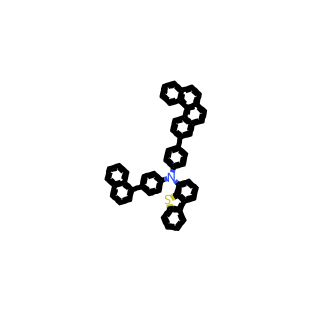 c1ccc2c(-c3ccc(N(c4ccc(-c5ccc6c(ccc7ccc8ccccc8c76)c5)cc4)c4cccc5c4sc4ccccc45)cc3)cccc2c1